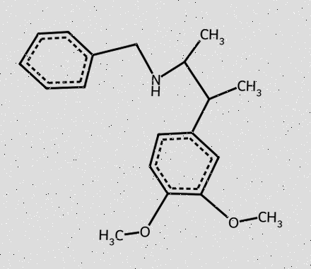 COc1ccc(C(C)C(C)NCc2ccccc2)cc1OC